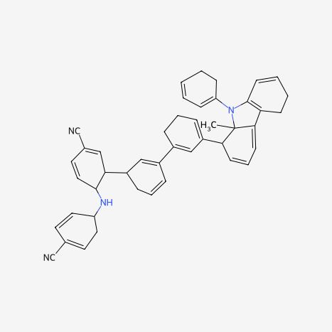 CC12C(=CC=CC1C1=CCCC(C3=CC(C4C=C(C#N)C=CC4NC4C=CC(C#N)=CC4)CC=C3)=C1)C1=C(C=CCC1)N2C1=CC=CCC1